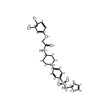 O=C(COc1ccc(F)c(Cl)c1)NC1CCN(c2ccc(S(=O)(=O)Nc3nccs3)cc2)CC1